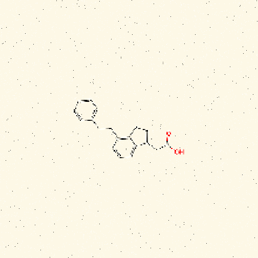 O=C(O)CC1=CCc2c(CCc3ccccc3)cccc21